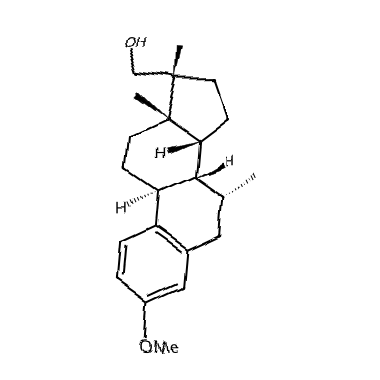 COc1ccc2c(c1)C[C@@H](C)[C@@H]1[C@@H]2CC[C@@]2(C)[C@@H]1CC[C@@]2(C)CO